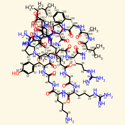 CCCCCCCCCCCCCC(=O)NCC(=O)N[C@@H](CCCNC(=N)N)C(=O)N[C@@H](CCCCN)C(=O)NCC(=O)N[C@@H](Cc1ccc(O)cc1)C(=O)N[C@@H](CCCNC(=N)N)C(=O)N1CCC[C@H]1C(=O)N[C@H](C(=O)N1CCC[C@H]1C(=O)N[C@H](C(=O)N[C@@H](CCCNC(=N)N)C(=O)N[C@H](C(=O)N[C@@H](C)C(=O)N[C@@H](Cc1ccccc1)C(=O)NCC(=O)N[C@@H](CC(N)=O)C(=O)N[C@@H](CC(C)C)C(=O)O)C(C)C)[C@@H](C)CC)[C@@H](C)O